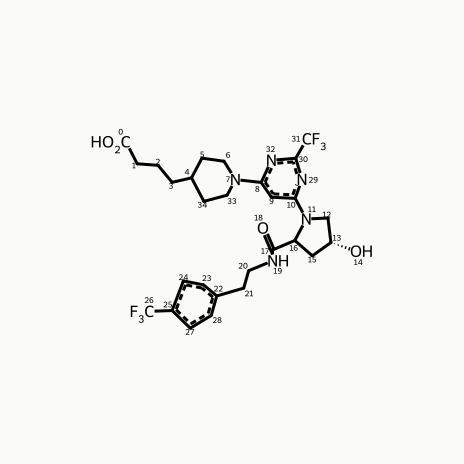 O=C(O)CCCC1CCN(c2cc(N3C[C@H](O)CC3C(=O)NCCc3ccc(C(F)(F)F)cc3)nc(C(F)(F)F)n2)CC1